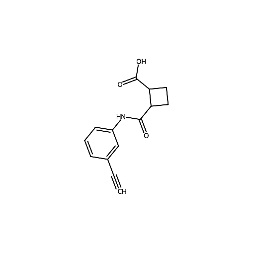 C#Cc1cccc(NC(=O)C2CCC2C(=O)O)c1